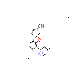 Cc1cc[n+](C)c(-c2c(C)ccc3c2oc2cc(C#N)ccc23)c1